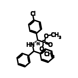 COP(=O)(OC)[C@H](NC(c1ccccc1)c1ccccc1)c1ccc(Cl)cc1